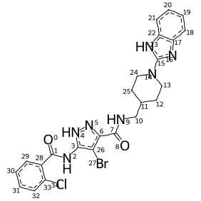 O=C(Nc1[nH]nc(C(=O)NCC2CCN(c3nc4ccccc4[nH]3)CC2)c1Br)c1ccccc1Cl